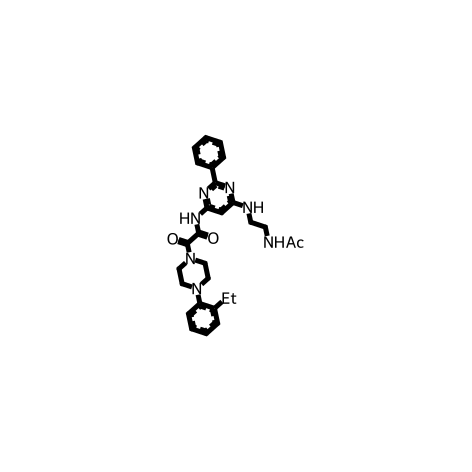 CCc1ccccc1N1CCN(C(=O)C(=O)Nc2cc(NCCNC(C)=O)nc(-c3ccccc3)n2)CC1